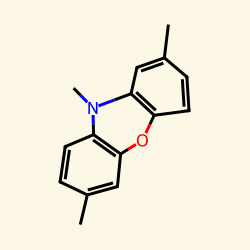 Cc1ccc2c(c1)Oc1ccc(C)cc1N2C